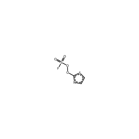 O=S(=O)(F)OOc1nccs1